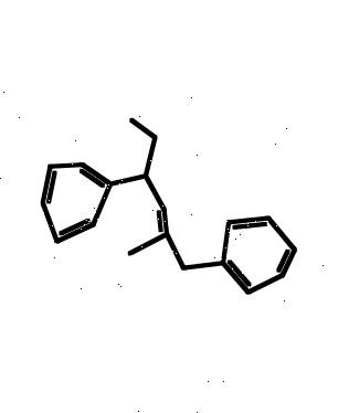 CCC(C=C(C)Cc1ccccc1)c1ccccc1